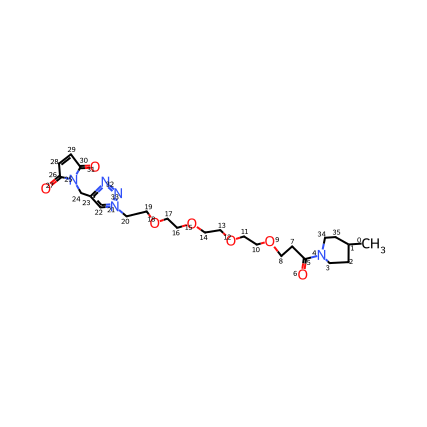 CC1CCN(C(=O)CCOCCOCCOCCOCCn2cc(CN3C(=O)C=CC3=O)nn2)CC1